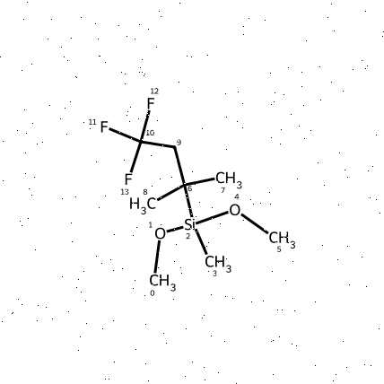 CO[Si](C)(OC)C(C)(C)CC(F)(F)F